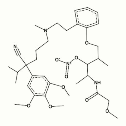 COCC(=O)NC(C)C(O[N+](=O)[O-])C(C)COc1ccccc1CCN(C)CCCC(C#N)(c1cc(OC)c(OC)c(OC)c1)C(C)C